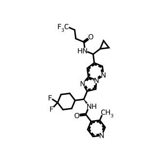 Cc1cnccc1C(=O)N[C@H](c1cn2ncc(C(NC(=O)CCC(F)(F)F)C3CC3)cc2n1)C1CCC(F)(F)CC1